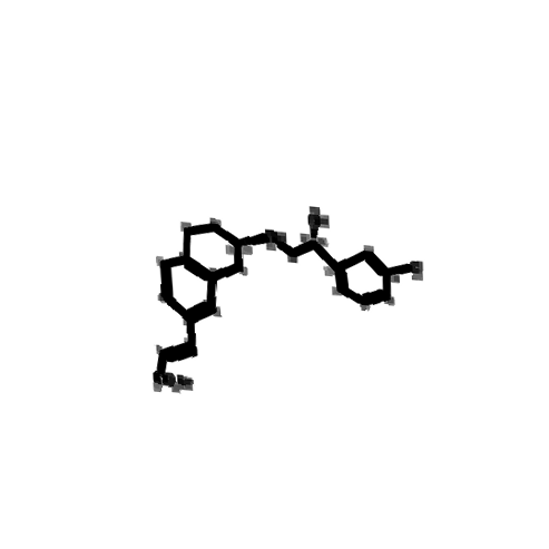 CCOC(=O)C=Cc1ccc2c(c1)C[C@H](NC[C@H](O)c1cccc(Cl)c1)CC2